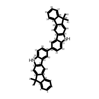 CC1(C)c2ccccc2-c2cc3c(cc21)[nH]c1ccc(-c2ccc4[nH]c5cc6c(cc5c4c2)-c2ccccc2C6(C)C)cc13